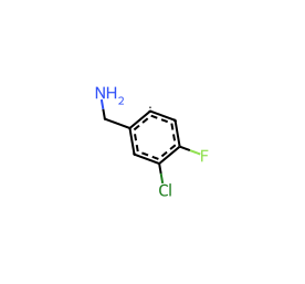 NCc1[c]cc(F)c(Cl)c1